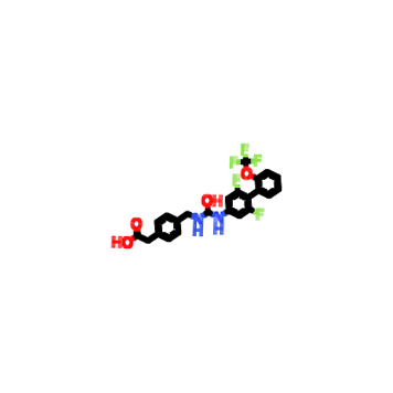 O=C(O)Cc1ccc(CNC(O)Nc2cc(F)c(-c3ccccc3OC(F)(F)F)c(F)c2)cc1